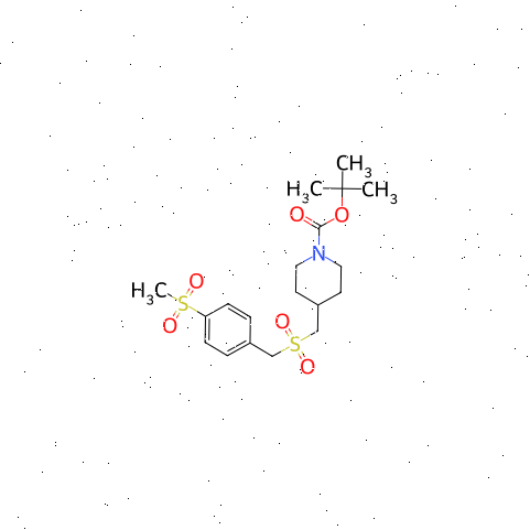 CC(C)(C)OC(=O)N1CCC(CS(=O)(=O)Cc2ccc(S(C)(=O)=O)cc2)CC1